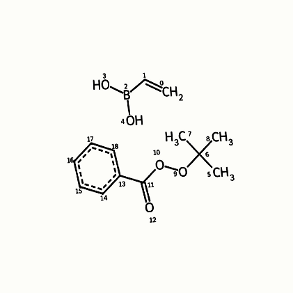 C=CB(O)O.CC(C)(C)OOC(=O)c1ccccc1